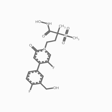 CC(CCn1cc(F)c(-c2ccc(F)c(CO)c2)cc1=O)(C(=O)NO)S(C)(=O)=O